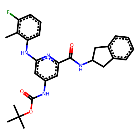 Cc1c(F)cccc1Nc1cc(NC(=O)OC(C)(C)C)cc(C(=O)NC2Cc3ccccc3C2)n1